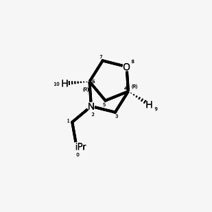 CC(C)CN1C[C@H]2C[C@@H]1CO2